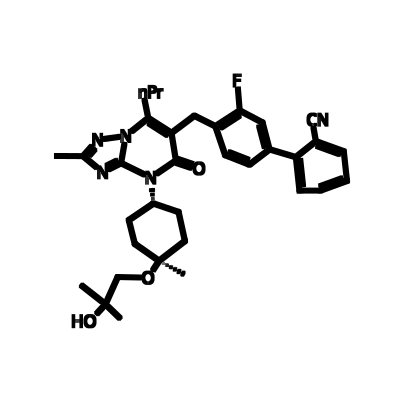 CCCc1c(Cc2ccc(-c3ccccc3C#N)cc2F)c(=O)n([C@H]2CC[C@](C)(OCC(C)(C)O)CC2)c2nc(C)nn12